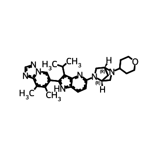 Cc1c(-c2[nH]c3ccc(N4C[C@H]5C[C@@H]4CN5C4CCOCC4)nc3c2C(C)C)cn2ncnc2c1C